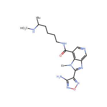 CCn1c(-c2nonc2N)nc2cncc(C(=O)NCCCCC(NC(=O)O)C(C)(C)C)c21